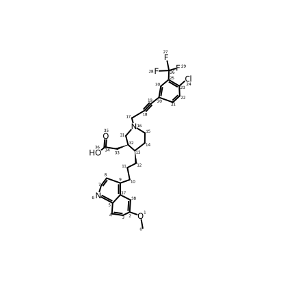 COc1ccc2nccc(CCC[C@@H]3CCN(CC#Cc4ccc(Cl)c(C(F)(F)F)c4)C[C@@H]3CC(=O)O)c2c1